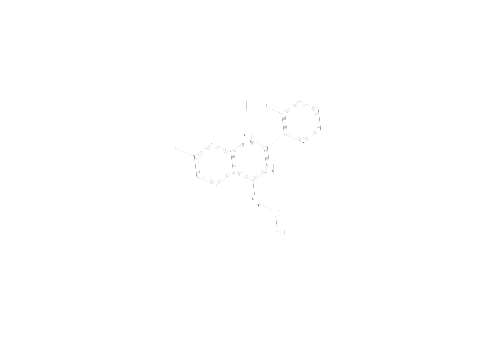 CCONc1nc(-c2ccccc2O)nc2cc(Cl)ccc12